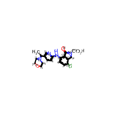 CC(c1ccc(Nc2ccc(Cl)c3c2C(=O)N(C(=O)O)C3)nc1)N1CCOCC1